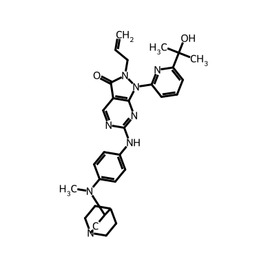 C=CCn1c(=O)c2cnc(Nc3ccc(N(C)C4CN5CCC4CC5)cc3)nc2n1-c1cccc(C(C)(C)O)n1